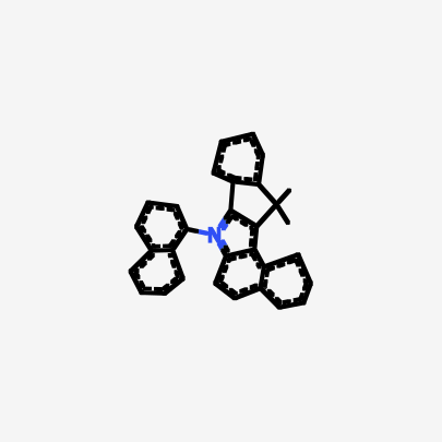 CC1(C)c2ccccc2-c2c1c1c3ccccc3ccc1n2-c1cccc2ccccc12